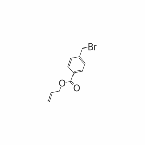 C=CCOC(=O)c1ccc(CBr)cc1